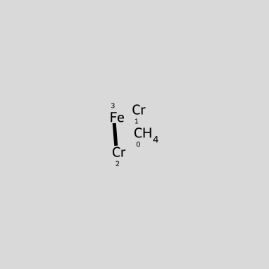 C.[Cr].[Cr][Fe]